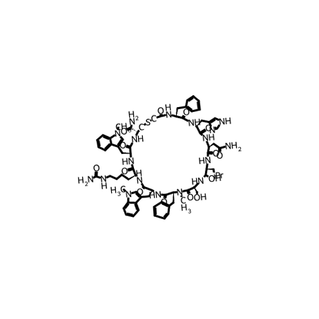 CC(C)C[C@@H]1NC(=O)[C@H](CC(N)=O)NC(=O)[C@H](Cc2c[nH]cn2)NC(=O)[C@H](Cc2ccccc2)NC(=O)CSC[C@@H](C(N)=O)NC(=O)[C@H](Cc2cn(C)c3ccccc23)NC(=O)[C@H](CCCCNC(N)=O)NC(=O)[C@H](Cc2cn(C)c3ccccc23)NC(=O)[C@H](Cc2ccccc2)N(C)C(=O)[C@H](CO)NC1O